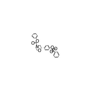 O=C(Oc1ccccc1)N1CCO[C@@H](c2ccc(OS(=O)(=O)c3ccccc3)cc2)C1